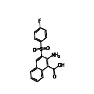 Nc1c(S(=O)(=O)c2ccc(F)cc2)cc2ccccc2c1C(=O)O